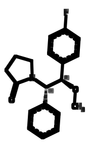 CO[C@H](c1ccc(F)cc1)[C@H](c1ccccc1)N1CCCC1=O